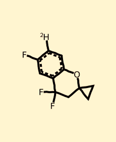 [2H]c1cc2c(cc1F)C(F)(F)CC1(CC1)O2